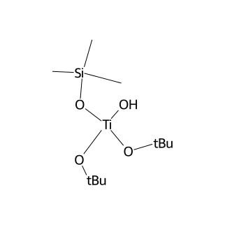 CC(C)(C)[O][Ti]([OH])([O]C(C)(C)C)[O][Si](C)(C)C